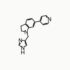 c1cc(-c2ccc3c(c2)N(Cc2c[nH]cn2)CC3)ccn1